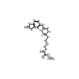 CC(C)(C)OC(=O)NCCOCCN1CCN(Cc2ccc3c(c2)CNC3)CC1